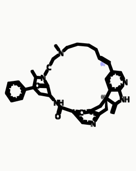 C=C1Nc2ncc3cc2[C@@]12Cc1cc(cnc1C2)C(=O)NC1CC(c2ccccc2)C(C)N(CCN(C)CCCC/C=C/3)C1=O